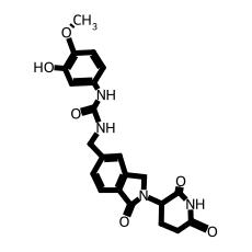 COc1ccc(NC(=O)NCc2ccc3c(c2)CN(C2CCC(=O)NC2=O)C3=O)cc1O